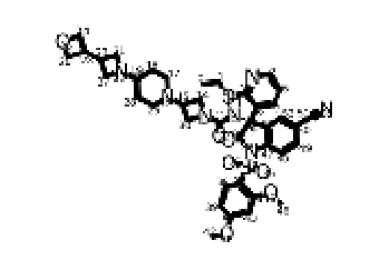 CCOc1ncccc1[C@]1(NC(=O)N2CC(N3CCC(N4CC(C5COC5)C4)CC3)C2)C(=O)N(S(=O)(=O)c2ccc(OC)cc2OC)c2ccc(C#N)cc21